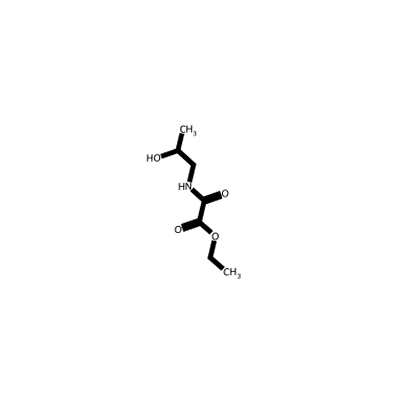 CCOC(=O)C(=O)NCC(C)O